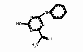 N=C(N)c1nc(O)nc(Nc2ccccc2)n1